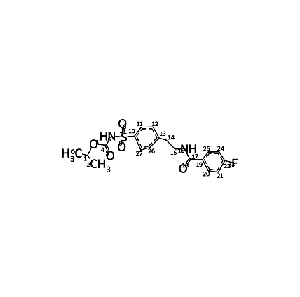 CC(C)OC(=O)NS(=O)(=O)c1ccc(CCNC(=O)c2ccc(F)cc2)cc1